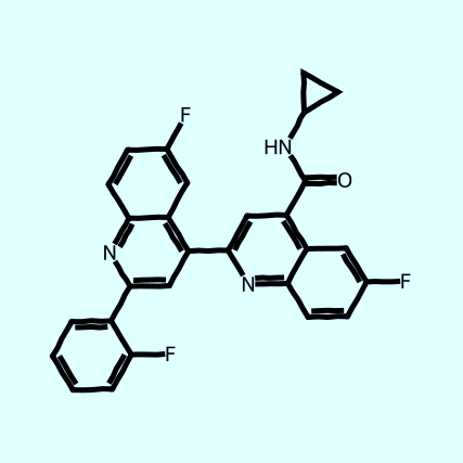 O=C(NC1CC1)c1cc(-c2cc(-c3ccccc3F)nc3ccc(F)cc23)nc2ccc(F)cc12